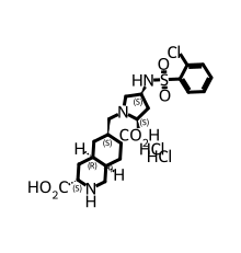 Cl.Cl.O=C(O)[C@@H]1C[C@H]2C[C@@H](CN3C[C@@H](NS(=O)(=O)c4ccccc4Cl)C[C@H]3C(=O)O)CC[C@H]2CN1